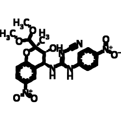 COC(OC)[C@]1(C)Oc2ccc([N+](=O)[O-])cc2[C@H](NC(=NC#N)Nc2ccc([N+](=O)[O-])cc2)[C@H]1O